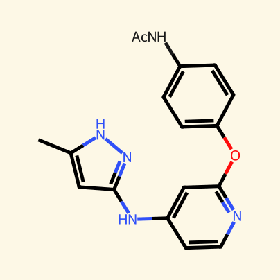 CC(=O)Nc1ccc(Oc2cc(Nc3cc(C)[nH]n3)ccn2)cc1